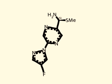 CS[C@H](N)c1cnc(-n2cc(F)cn2)cn1